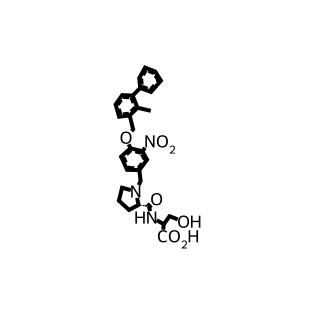 Cc1c(COc2ccc(CN3CCC[C@H]3C(=O)NC(CO)C(=O)O)cc2[N+](=O)[O-])cccc1-c1ccccc1